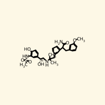 COc1cccc(CC(C(N)=O)c2cccc(CC(C)(C)NC[C@H](O)c3ccc(O)c(NS(C)(=O)=O)c3)c2)c1